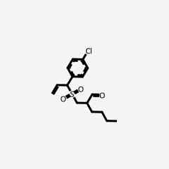 C=CC(c1ccc(Cl)cc1)S(=O)(=O)CC(C=O)CCCC